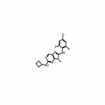 Cn1c(Nc2c(F)cc(Cl)cc2F)nc2cnc(NC3CCC3)nc21